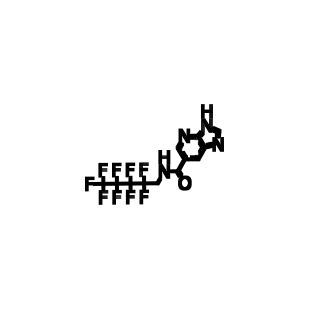 O=C(NCC(F)(F)C(F)(F)C(F)(F)C(F)(F)F)c1cnc2[nH]cnc2c1